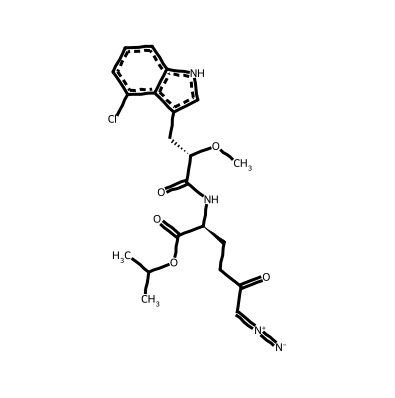 CO[C@@H](Cc1c[nH]c2cccc(Cl)c12)C(=O)N[C@@H](CCC(=O)C=[N+]=[N-])C(=O)OC(C)C